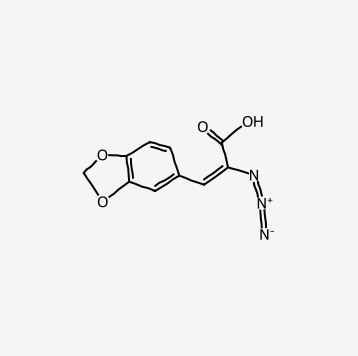 [N-]=[N+]=N/C(=C/c1ccc2c(c1)OCO2)C(=O)O